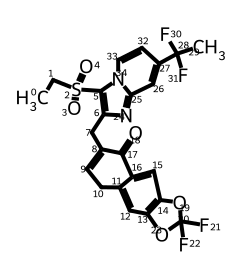 CCS(=O)(=O)c1c(CC2=CCc3cc4c(cc3C2=O)OC(F)(F)O4)nc2cc(C(C)(F)F)ccn12